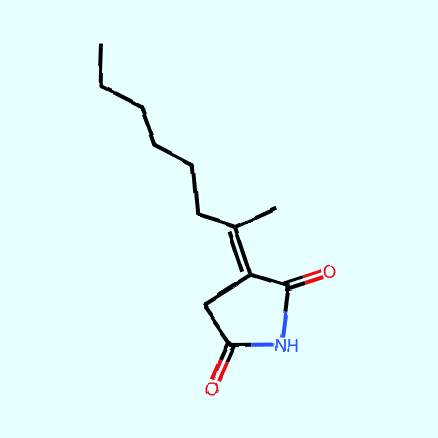 CCCCCCC(C)=C1CC(=O)NC1=O